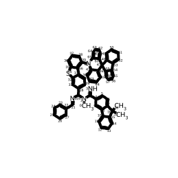 CN(C(=N)c1ccc2c(c1)-c1ccccc1C2(C)C)C(/N=C/c1ccccc1)c1ccc2c(c1)sc1cccc(N3c4ccccc4C4(c5ccccc5-c5ccccc54)c4ccccc43)c12